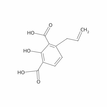 C=CCc1ccc(C(=O)O)c(O)c1C(=O)O